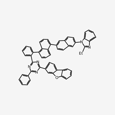 CCc1nc2ccccc2n1-c1ccc2cc(-c3cccc4c(-c5ccccc5-c5nc(-c6ccccc6)nc(-c6ccc7c(c6)oc6ccccc67)n5)cccc34)ccc2c1